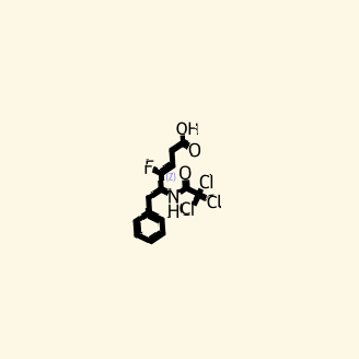 O=C(O)C/C=C(\F)C(Cc1ccccc1)NC(=O)C(Cl)(Cl)Cl